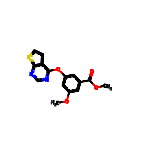 COC(=O)c1cc(OC)cc(Oc2ncnc3sccc23)c1